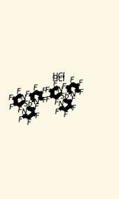 Cl.Cl.Fc1n[c]([Sb]([c]2nc(F)c(F)c(F)c2F)[c]2nc(F)c(F)c(F)c2F)c(F)c(F)c1F.Fc1n[c]([Sb]([c]2nc(F)c(F)c(F)c2F)[c]2nc(F)c(F)c(F)c2F)c(F)c(F)c1F